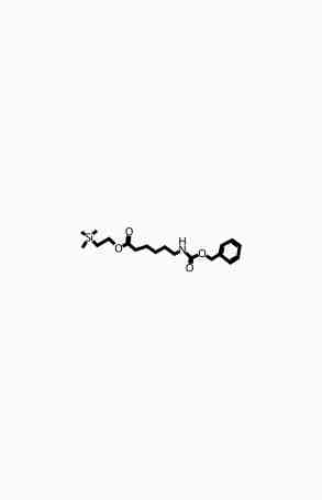 C[Si](C)(C)CCOC(=O)CCCCCNC(=O)OCc1ccccc1